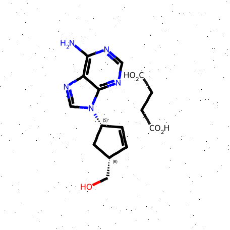 Nc1ncnc2c1ncn2[C@@H]1C=C[C@H](CO)C1.O=C(O)CCC(=O)O